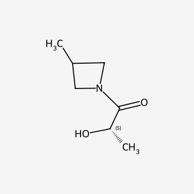 CC1CN(C(=O)[C@H](C)O)C1